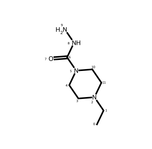 CCN1CCN(C(=O)NN)CC1